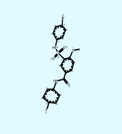 COc1ccc(C(=O)Nc2ccc(F)cc2)cc1S(=O)(=O)Nc1ccc(Br)cc1